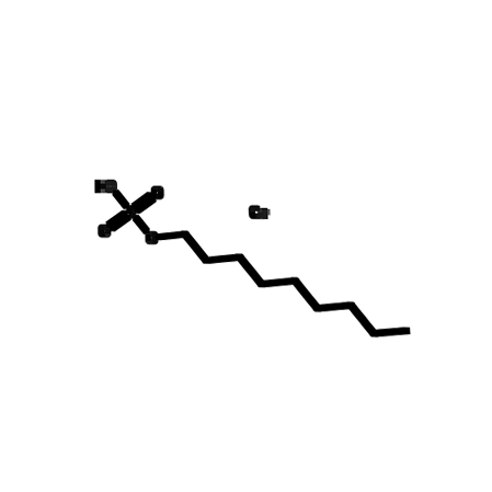 CCCCCCCCCOS(=O)(=O)O.[Cu]